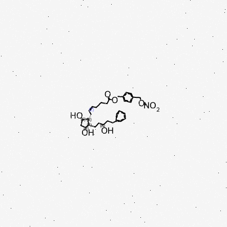 O=C(CCC/C=C\C[C@@H]1[C@@H](CC[C@@H](O)CCc2ccccc2)[C@H](O)C[C@@H]1O)OCc1ccc(CO[N+](=O)[O-])cc1